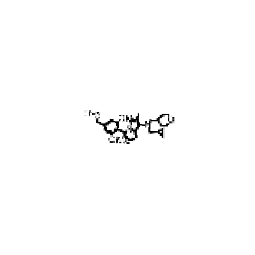 CCOCc1cc(OC)c(-c2cccc3c(N(CC4CCOCC4)CC4CC4)c(C)nn23)c(OC)c1